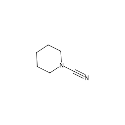 N#CN1CCCCC1